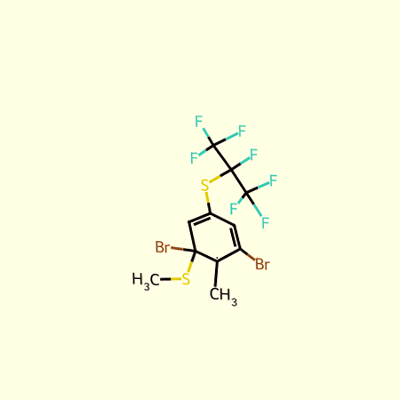 CSC1(Br)C=C(SC(F)(C(F)(F)F)C(F)(F)F)C=C(Br)[C]1C